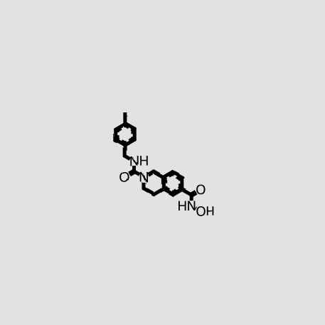 Cc1ccc(CNC(=O)N2CCc3cc(C(=O)NO)ccc3C2)cc1